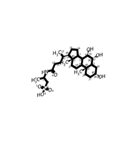 CC(CS(=O)(=O)O)NC(=O)CCC(C)[C@H]1CCC2C3C(CC[C@@]21C)[C@@]1(C)CC[C@@H](O)CC1[C@@H](O)[C@H]3O